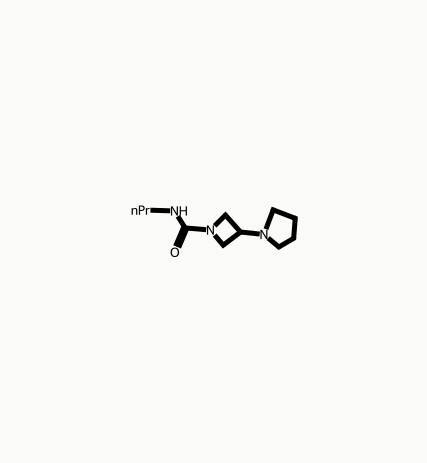 CCCNC(=O)N1CC(N2CCCC2)C1